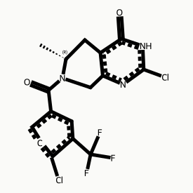 C[C@@H]1Cc2c(nc(Cl)[nH]c2=O)CN1C(=O)c1ccc(Cl)c(C(F)(F)F)c1